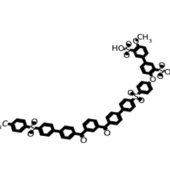 COc1ccc(-c2ccc(Oc3ccc(S(=O)(=O)c4ccc(-c5ccc(C(=O)c6cccc(C(=O)c7ccc(-c8ccc(S(=O)(=O)c9ccc(C)cc9)cc8)cc7)c6)cc5)cc4)cc3)c(S(=O)(=O)O)c2)cc1S(=O)(=O)O